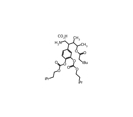 CC(C)CCOC(=O)Oc1ccc(C(C(C)C(C)OC(=O)CC(C)(C)C)[C@H](N)C(=O)O)cc1OC(=O)OCCC(C)C